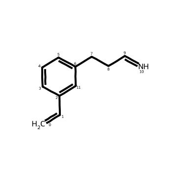 C=Cc1cccc(CCC=N)c1